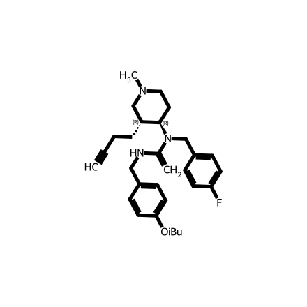 C#CCC[C@@H]1CN(C)CC[C@H]1N(Cc1ccc(F)cc1)C(=C)NCc1ccc(OCC(C)C)cc1